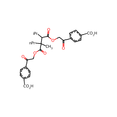 CCCC(C)(C(=O)OCC(=O)c1ccc(C(=O)O)cc1)C(C(=O)OCC(=O)c1ccc(C(=O)O)cc1)C(C)C